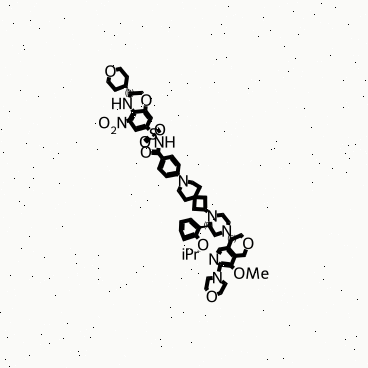 COc1c(N2CCOCC2)ncc2c1COC[C@H]2N1CCN(C2CC3(CCN(c4ccc(C(=O)NS(=O)(=O)c5cc6c(c([N+](=O)[O-])c5)N[C@H](C5CCOCC5)CO6)cc4)CC3)C2)[C@H](c2ccccc2OC(C)C)C1